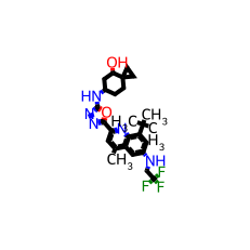 Cc1cc(-c2nnc(NC3CCC4(CC4)C(O)C3)o2)nc2c(C(C)(C)C)cc(NCC(F)(F)F)cc12